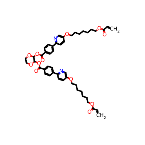 C=CC(=O)OCCCCCCCOc1ccc(-c2ccc(C(=O)OC3OCCOC3OC(=O)c3ccc(-c4ccc(OCCCCCCCOC(=O)C=C)cn4)cc3)cc2)nc1